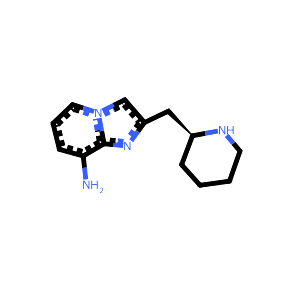 Nc1cccn2cc(C[C@@H]3CCCCN3)nc12